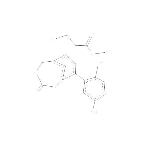 CCCC(=O)OC.Cc1ccc(N)cc1-c1ccc2cc1NC(=O)OC2